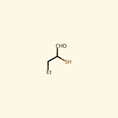 CCCC(S)C=O